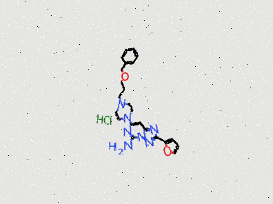 Cl.Nc1nc(N2CCN(CCCOCc3ccccc3)CC2)cc2nc(-c3ccco3)nn12